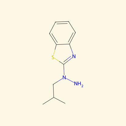 CC(C)CN(N)c1nc2ccccc2s1